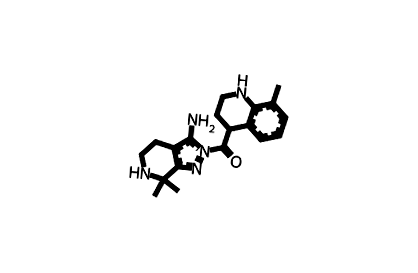 Cc1cccc2c1NCCC2C(=O)n1nc2c(c1N)CCNC2(C)C